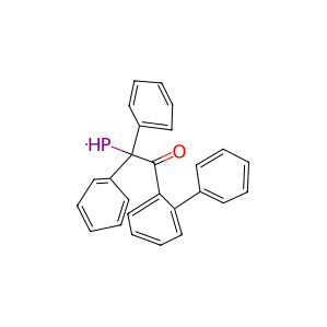 O=C(c1ccccc1-c1ccccc1)C([PH])(c1ccccc1)c1ccccc1